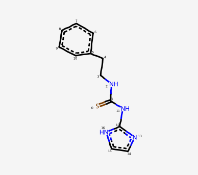 S=C(NCCc1ccccc1)Nc1ncc[nH]1